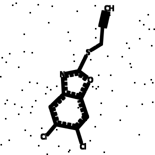 C#CCSc1nc2cc(Cl)c(Cl)cc2o1